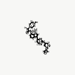 C[C@H](C(=O)Nc1cccc2c(-c3ccnc(Nc4cnn(C5COC5)c4)n3)c[nH]c12)N1CCN(C)CC1